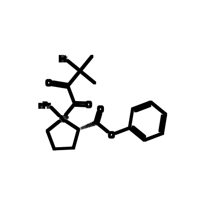 CCC[N+]1(C(=O)C(=O)C(C)(C)CC)CCC[C@H]1C(=O)Oc1ccccc1